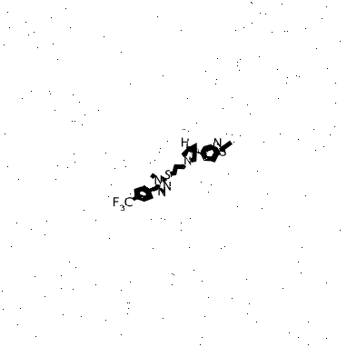 Cc1nc2cc([C@]34C[C@H]3CN(CCCSc3nnc(-c5ccc(C(F)(F)F)cc5)n3C)C4)ccc2s1